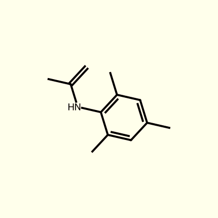 C=C(C)Nc1c(C)cc(C)cc1C